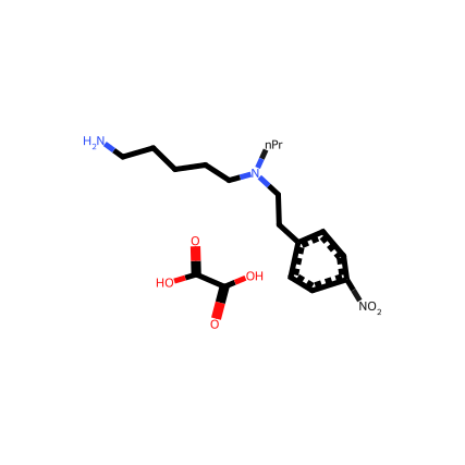 CCCN(CCCCCN)CCc1ccc([N+](=O)[O-])cc1.O=C(O)C(=O)O